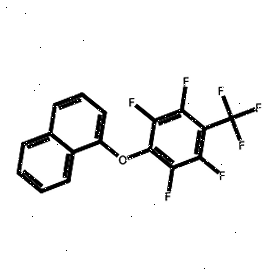 Fc1c(F)c(C(F)(F)F)c(F)c(F)c1Oc1cccc2ccccc12